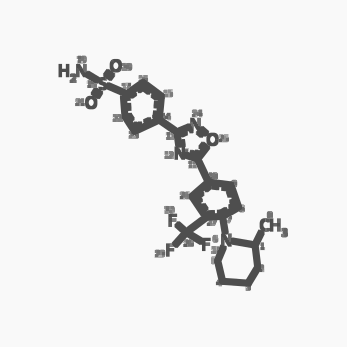 CC1CCCCN1c1ccc(-c2nc(-c3ccc(S(N)(=O)=O)cc3)no2)cc1C(F)(F)F